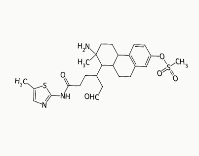 Cc1cnc(NC(=O)CCC(CC=O)C2C3CCc4cc(OS(C)(=O)=O)ccc4C3CCC2(C)N)s1